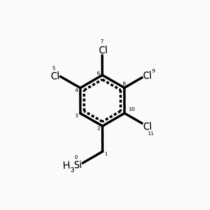 [SiH3]Cc1cc(Cl)c(Cl)c(Cl)c1Cl